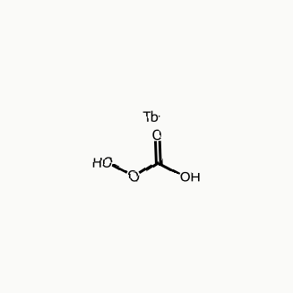 O=C(O)OO.[Tb]